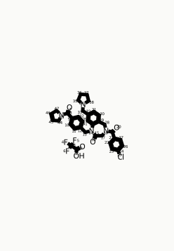 O=C(O)C(F)(F)F.O=C(c1ccc(CN2C(=O)CN(C(=O)c3ccc(Cl)cc3)Cc3ccc(CN4CCCC4)cc32)cc1)N1CC=CC1